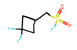 O=S(=O)(F)CC1CC(F)(F)C1